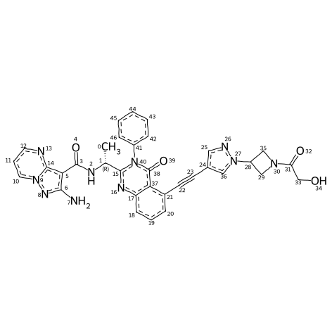 C[C@@H](NC(=O)c1c(N)nn2cccnc12)c1nc2cccc(C#Cc3cnn(C4CN(C(=O)CO)C4)c3)c2c(=O)n1-c1ccccc1